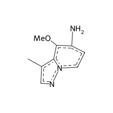 COc1c(N)ccn2ncc(C)c12